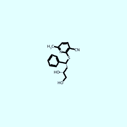 Cc1ccc(C#N)c(S[C@H](C[C@@H](O)CO)c2ccccc2)n1